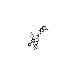 CC(C)(C)OC(=O)C[C@H](CN1CC[C@@H](CCc2ccc3c(n2)NCCC3)C1)c1cc(N2CCOCC2)cc(-n2cccn2)c1